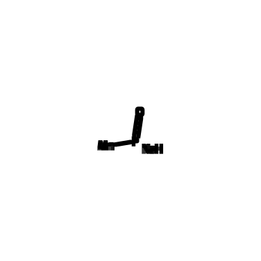 O=[P][Mn].[NaH]